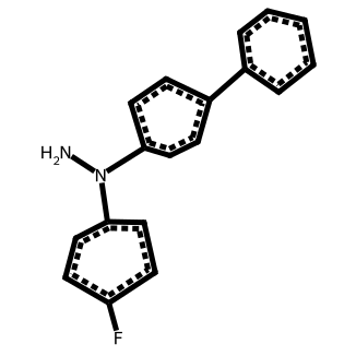 NN(c1ccc(F)cc1)c1ccc(-c2ccccc2)cc1